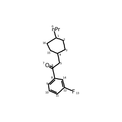 CCCC1CCC(CC(=O)c2cccc(F)c2)CC1